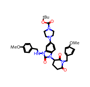 COc1ccc(CNn2c(=O)n(C3CCC(=O)N(Cc4ccc(OC)cc4)C3=O)c3ccc(N4CCN(C(=O)OC(C)(C)C)CC4)cc32)cc1